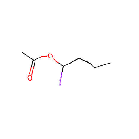 CCCC(I)OC(C)=O